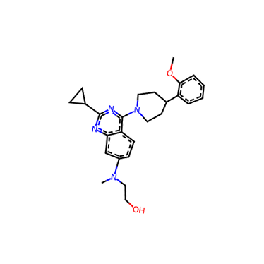 COc1ccccc1C1CCN(c2nc(C3CC3)nc3cc(N(C)CCO)ccc23)CC1